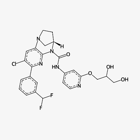 O=C(Nc1ccnc(OCC(O)CO)c1)N1c2nc(-c3cccc(C(F)F)c3)c(Cl)cc2N2CC[C@H]1C2